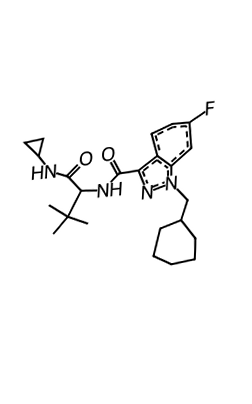 CC(C)(C)C(NC(=O)c1nn(CC2CCCCC2)c2cc(F)ccc12)C(=O)NC1CC1